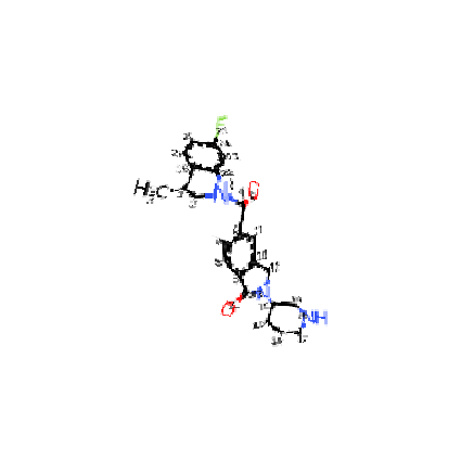 C[C@@H]1CN(C(=O)c2ccc3c(c2)CN(C2CCCNC2)C3=O)c2cc(F)ccc21